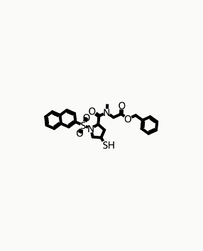 CN(CC(=O)OCc1ccccc1)C(=O)C1CC(S)CN1S(=O)(=O)c1ccc2ccccc2c1